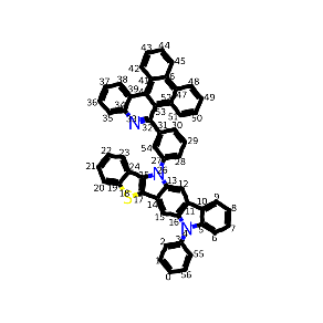 c1ccc(-n2c3ccccc3c3cc4c(cc32)c2sc3ccccc3c2n4-c2cccc(-c3nc4ccccc4c4c5ccccc5c5ccccc5c34)c2)cc1